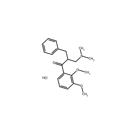 COc1cccc(C(=O)C(Cc2ccccc2)CN(C)C)c1OC.Cl